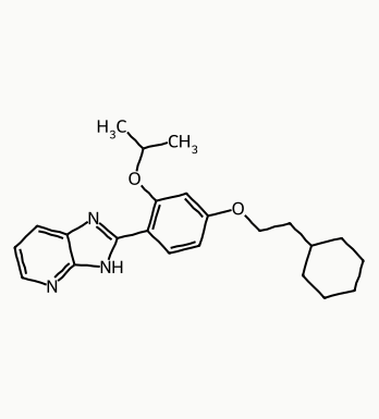 CC(C)Oc1cc(OCCC2CCCCC2)ccc1-c1nc2cccnc2[nH]1